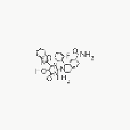 Cn1c(N2CCc3ccc(C(N)=O)cc3[C@@H]2c2ccccc2F)nc(-c2nc3ccccc3o2)c(O)c1=O